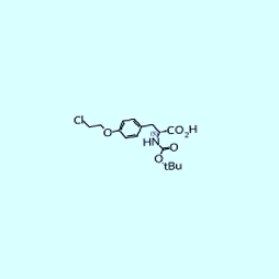 CC(C)(C)OC(=O)N[C@@H](Cc1ccc(OCCCl)cc1)C(=O)O